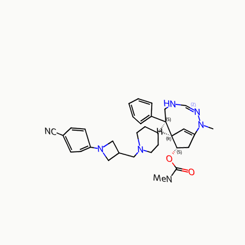 CNC(=O)O[C@H]1CC2=C[C@@H]1[C@](c1ccccc1)(C1CCN(CC3CN(c4ccc(C#N)cc4)C3)CC1)CN/C=N\N2C